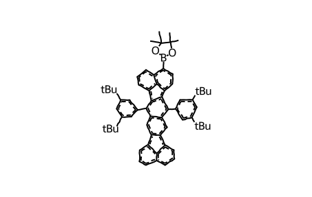 CC(C)(C)c1cc(-c2c3cc4c(cc3c(-c3cc(C(C)(C)C)cc(C(C)(C)C)c3)c3c5ccc(B6OC(C)(C)C(C)(C)O6)c6cccc(c23)c65)c2cccc3cccc4c32)cc(C(C)(C)C)c1